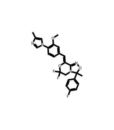 COc1cc(/C=C2\OC(F)(F)CN3C2=NOC3(C)c2ccc(F)cc2)ccc1-n1cnc(C)c1